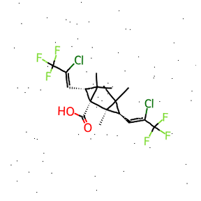 CC1(C)[C@@H](C=C(Cl)C(F)(F)F)[C@]1(C(=O)O)[C@]1(C)[C@H](/C=C(\Cl)C(F)(F)F)C1(C)C